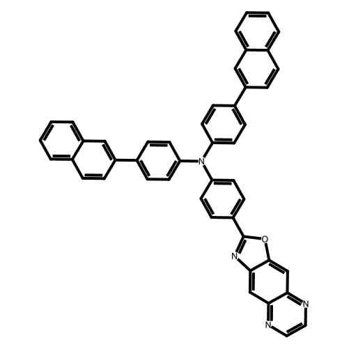 c1ccc2cc(-c3ccc(N(c4ccc(-c5ccc6ccccc6c5)cc4)c4ccc(-c5nc6cc7nccnc7cc6o5)cc4)cc3)ccc2c1